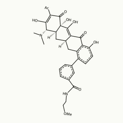 COCCNC(=O)c1cccc(-c2ccc(O)c3c2C[C@H]2C[C@H]4[C@H](N(C)C)C(O)=C(C(C)=O)C(=O)[C@@]4(O)C(O)=C2C3=O)c1